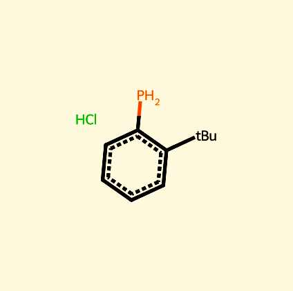 CC(C)(C)c1ccccc1P.Cl